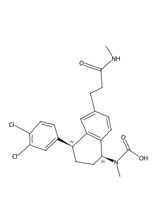 CNC(=O)CCc1ccc2c(c1)[C@H](c1ccc(Cl)c(Cl)c1)CC[C@@H]2N(C)C(=O)O